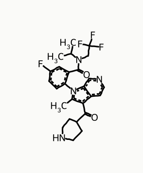 Cc1c(C(=O)C2CCNCC2)c2ccncc2n1-c1ccc(F)cc1C(=O)N(CC(F)(F)F)C(C)C